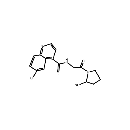 N#CC1CCCN1C(=O)CNC(=O)c1ccnc2ccc(Cl)cc12